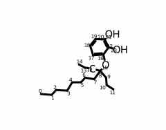 CCCCCCCCC(CCC)(CCC)Oc1cccc(O)c1O